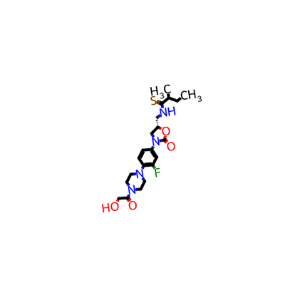 CCC(C)C(=S)NC[C@H]1CN(c2ccc(N3CCN(C(=O)CO)CC3)c(F)c2)C(=O)O1